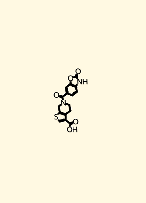 O=C(O)c1csc2c1CCN(C(=O)c1ccc3[nH]c(=O)oc3c1)C2